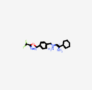 N/C(=C\N(N)Cc1ccc(-c2nnc(C(F)F)o2)cc1)C1CCCCC1